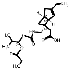 CCC(=O)O[C@H](OC(=O)NC[C@]1(CC(=O)O)C[C@H]2CC(CC)=C[C@H]21)C(C)C